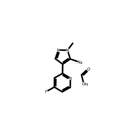 Cn1ncc(-c2cc(F)ccn2)[c]1[Na].O=CO